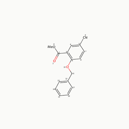 COC(=O)c1cc(C#N)ccc1OCc1ccccc1